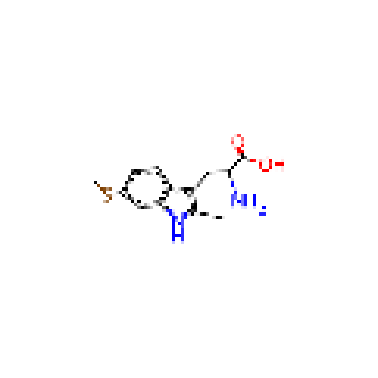 CSc1ccc2c(CC(N)C(=O)O)c(C)[nH]c2c1